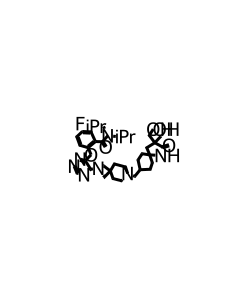 CC(C)N(C(=O)c1cc(F)ccc1Oc1nncnc1N1CC2(CCN(CC3CCC4(CC3)CC(CO)(CO)C(=O)N4)CC2)C1)C(C)C